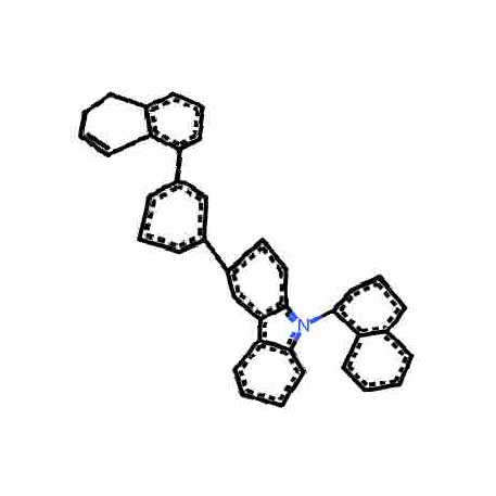 C1=Cc2c(cccc2-c2cccc(-c3ccc4c(c3)c3ccccc3n4-c3cccc4ccccc34)c2)CC1